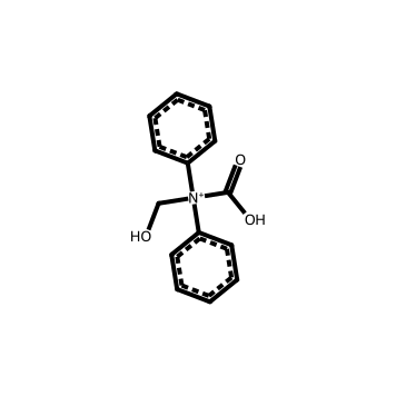 O=C(O)[N+](CO)(c1ccccc1)c1ccccc1